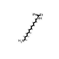 CCC(NCCCCCCCCCCCCN)C(C)C